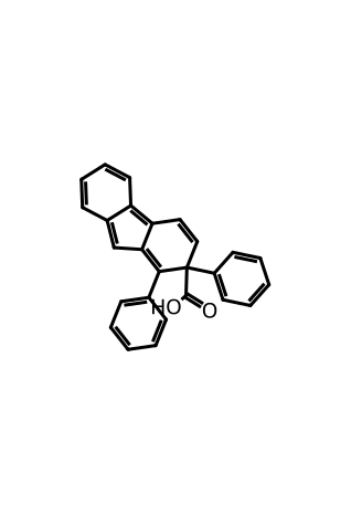 O=C(O)C1(c2ccccc2)C=CC2=c3ccccc3=CC2=C1c1ccccc1